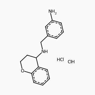 Cl.Cl.Nc1cccc(CNC2CCOc3ccccc32)c1